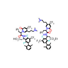 CCOC(=O)C[C@H](NC(=O)C(CC(C)C)n1cc(CCCN(C)C)c(C(F)(F)F)cc1=O)c1c(F)c(-c2c(C)cccc2C)cc(C(F)(F)F)c1F.Cc1cccc(C)c1-c1cc(C(F)(F)F)c(F)c([C@H](CC(=O)O)NC(=O)C(CC(C)C)n2cc(CCCN(C)C)c(C(F)(F)F)cc2=O)c1F